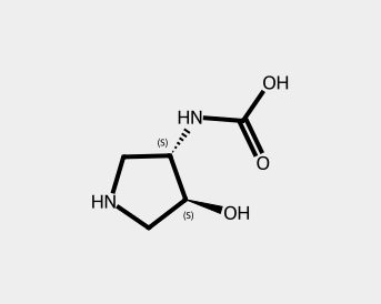 O=C(O)N[C@H]1CNC[C@@H]1O